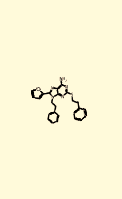 Nc1nc(SCCc2ccccc2)nc2c1nc(-c1ccco1)n2CCc1ccccc1